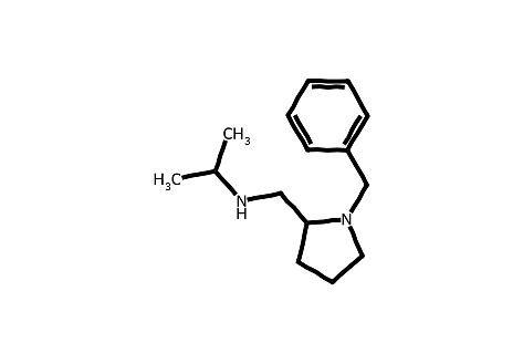 CC(C)NCC1CCCN1Cc1ccccc1